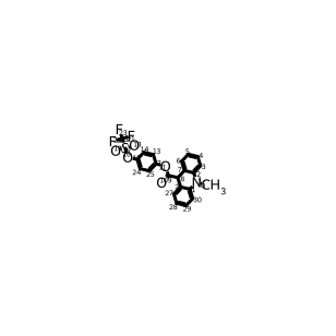 CN1c2ccccc2C(C(=O)Oc2ccc(OS(=O)(=O)C(F)(F)F)cc2)c2ccccc21